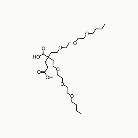 CCCCOCCOCCOCCC(CCOCCOCCOCCCC)(CCC(=O)O)C(=O)O